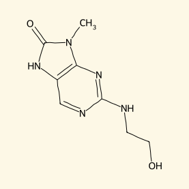 Cn1c(=O)[nH]c2cnc(NCCO)nc21